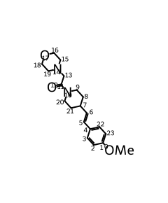 COc1ccc(/C=C/C2CCN(C(=O)CN3CCOCC3)CC2)cc1